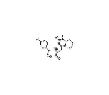 O=C(NC(Cc1cc(=O)[nH]c2c1C=CCC2)C(=O)O)c1ccc(Cl)cc1